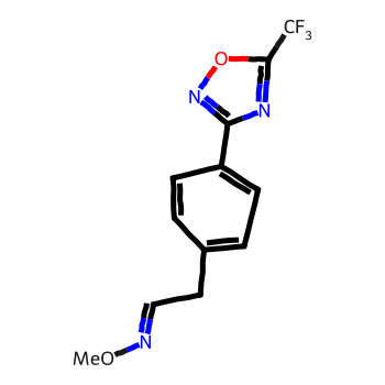 CO/N=C/Cc1ccc(-c2noc(C(F)(F)F)n2)cc1